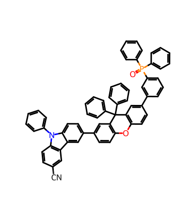 N#Cc1ccc2c(c1)c1cc(-c3ccc4c(c3)C(c3ccccc3)(c3ccccc3)c3cc(-c5cccc(P(=O)(c6ccccc6)c6ccccc6)c5)ccc3O4)ccc1n2-c1ccccc1